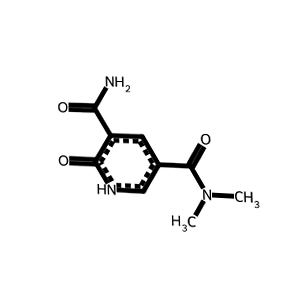 CN(C)C(=O)c1c[nH]c(=O)c(C(N)=O)c1